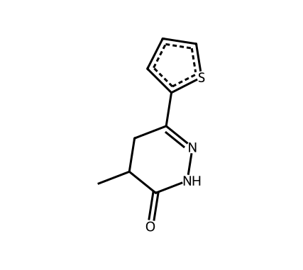 CC1CC(c2cccs2)=NNC1=O